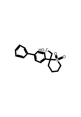 O=C(O)CC1(c2ccc(-c3ccccc3)cc2)CCCCS1(=O)=O